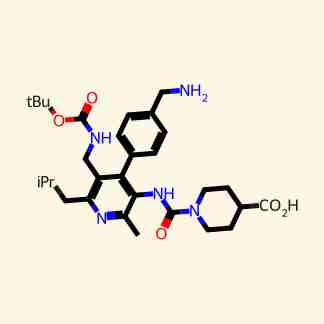 Cc1nc(CC(C)C)c(CNC(=O)OC(C)(C)C)c(-c2ccc(CN)cc2)c1NC(=O)N1CCC(C(=O)O)CC1